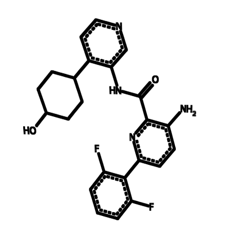 Nc1ccc(-c2c(F)cccc2F)nc1C(=O)Nc1cnccc1C1CCC(O)CC1